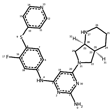 Nc1nc(Nc2ccc(Sc3ccncc3)c(F)c2)cc(N2C[C@@H]3CCCN[C@@H]3C2)n1